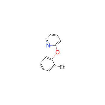 CCc1ccccc1Oc1ccccn1